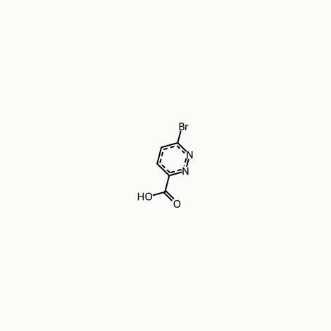 O=C(O)c1ccc(Br)nn1